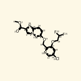 COC(=O)c1cn2nc(OCc3ncc(Cl)cc3OCC(F)F)ccc2n1